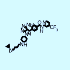 CN(C/C=C/CNC1CCC(n2nc(-c3ccc(C(=O)Nc4cc(C(F)(F)F)ccn4)cc3)c3c(N)ncnc32)CC1)C1CC1